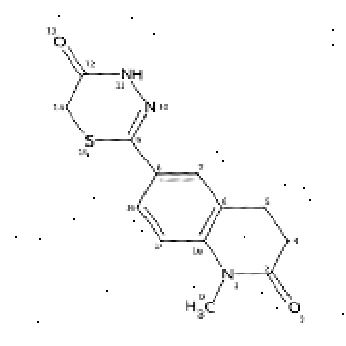 CN1C(=O)CCc2cc(C3=NNC(=O)CS3)ccc21